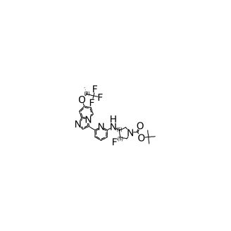 C[C@@H](Oc1ccn2c(-c3cccc(N[C@H]4CN(C(=O)OC(C)(C)C)C[C@@H]4F)n3)cnc2c1)C(F)(F)F